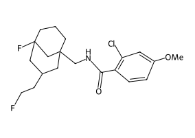 COc1ccc(C(=O)NCC23CCCC(F)(CC(CCF)C2)C3)c(Cl)c1